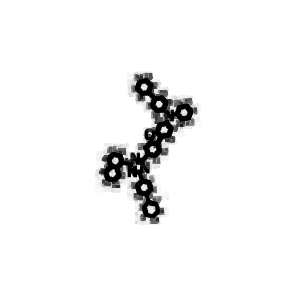 C1=CC(c2ccc(-c3nc(-c4ccc5c(c4)oc4cc(N(c6ccccc6)c6ccc(-c7ccccc7)cc6)ccc45)nc(-c4cccc5ccccc45)n3)cc2)=CCC1